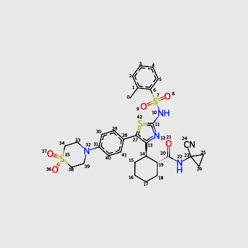 Cc1ccccc1S(=O)(=O)Nc1nc([C@@H]2CCCC[C@H]2C(=O)NC2(C#N)CC2)c(-c2ccc(N3CCS(=O)(=O)CC3)cc2)s1